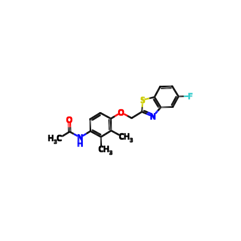 CC(=O)Nc1ccc(OCc2nc3cc(F)ccc3s2)c(C)c1C